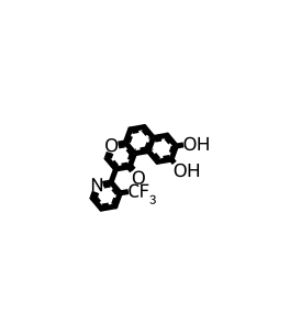 O=c1c(-c2ncccc2C(F)(F)F)coc2ccc3cc(O)c(O)cc3c12